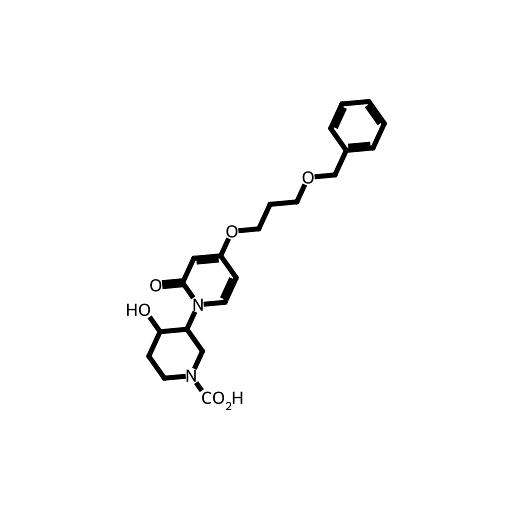 O=C(O)N1CCC(O)C(n2ccc(OCCCOCc3ccccc3)cc2=O)C1